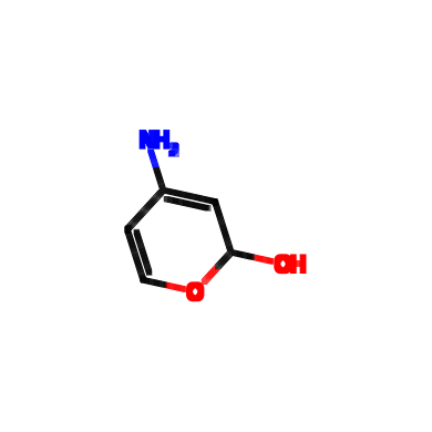 NC1=CC(O)OC=C1